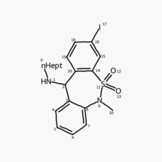 CCCCCCCNC1c2ccccc2N(C)S(=O)(=O)c2cc(I)ccc21